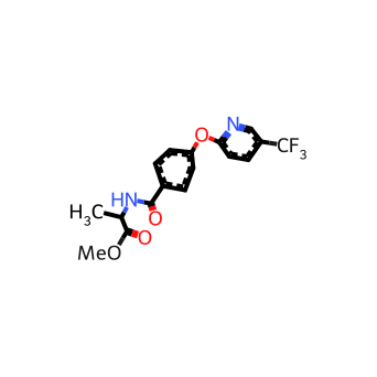 COC(=O)C(C)NC(=O)c1ccc(Oc2ccc(C(F)(F)F)cn2)cc1